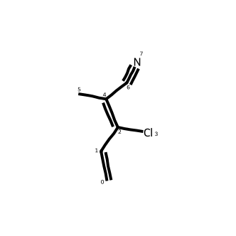 C=C/C(Cl)=C(\C)C#N